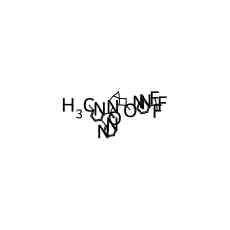 Cc1ccc(-c2ncccn2)c(C(=O)N2CC3CC34CC(Oc3ccc(C(F)(F)F)nn3)C24)n1